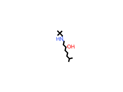 CC(C)CCC[C@@H](O)CCNCC(C)(C)C